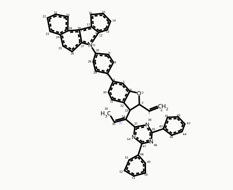 C=CC1Oc2cc(-c3ccc(-n4c5ccccc5c5c6ccccc6ccc54)cc3)ccc2C1/C(=C\C)c1nc(-c2ccccc2)nc(-c2ccccc2)n1